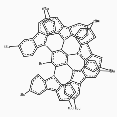 CC(C)(C)c1ccc2c(c1)c1cc(C(C)(C)C)ccc1n2-c1c(Br)c(-n2c3ccc(C(C)(C)C)cc3c3cc(C(C)(C)C)ccc32)c(-n2c3ccc(C(C)(C)C)cc3c3cc(C(C)(C)C)ccc32)c(-n2c3ccc(C(C)(C)C)cc3c3cc(C(C)(C)C)ccc32)c1-n1c2ccc(C(C)(C)C)cc2c2cc(C(C)(C)C)ccc21